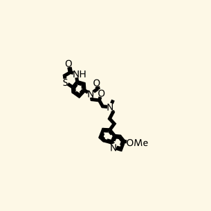 COc1cnc2cccc(CCCN(C)CC3CN(c4ccc5c(c4)NC(=O)CS5)C(=O)O3)c2c1